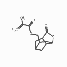 C=C(C)C(=O)OCC1C2CC3C(=O)OC1C3C2